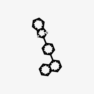 c1ccc2c(-c3ccc(-c4nc5ccccc5s4)cc3)cccc2c1